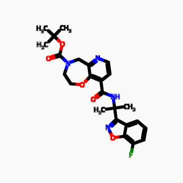 CC(C)(C)OC(=O)N1CCOc2c(C(=O)NC(C)(C)c3noc4c(F)cccc34)ccnc2C1